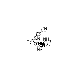 CC1CC(N)CN(c2ccncc2NC(=O)c2nc3cc(C4CCN(C)CC4)ccc3cc2N)C1